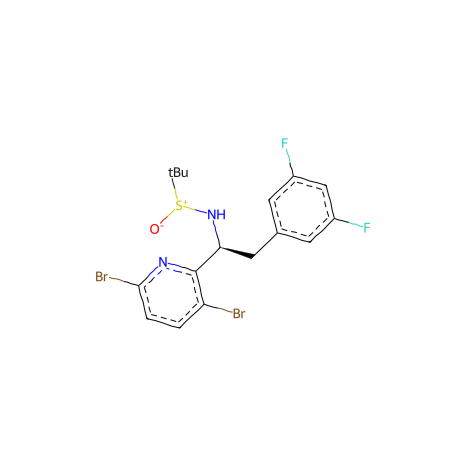 CC(C)(C)[S+]([O-])N[C@@H](Cc1cc(F)cc(F)c1)c1nc(Br)ccc1Br